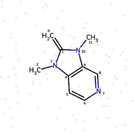 C=C1N(C)c2ccncc2N1C